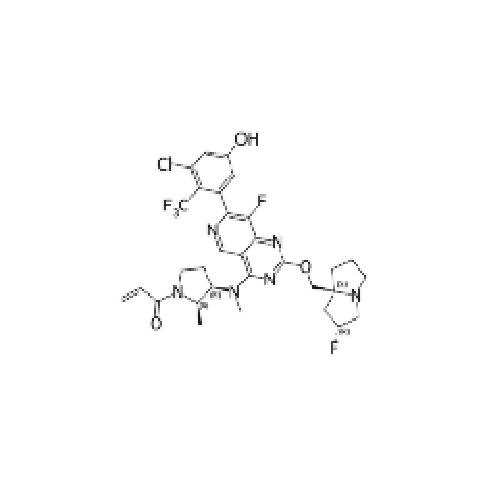 C=CC(=O)N1CC[C@@H](N(C)c2nc(OC[C@@]34CCCN3C[C@H](F)C4)nc3c(F)c(-c4cc(O)cc(Cl)c4C(F)(F)F)ncc23)[C@H]1C